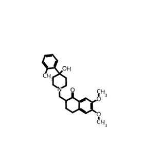 COc1cc2c(cc1OC)C(=O)C(CN1CCC(O)(c3ccccc3C)CC1)CC2